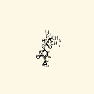 CC(C)(C)NC(=O)Oc1ccn(C2CC2)c(=O)n1